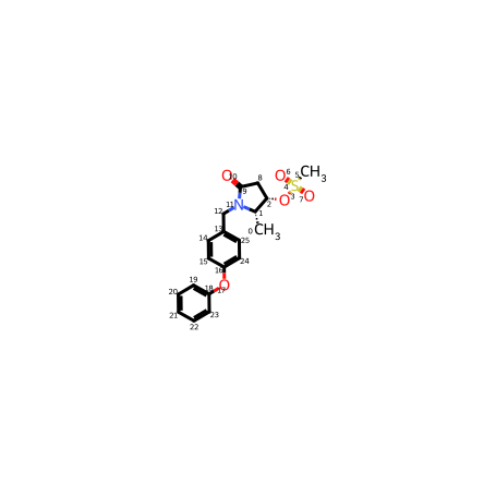 C[C@H]1[C@@H](OS(C)(=O)=O)CC(=O)N1Cc1ccc(Oc2ccccc2)cc1